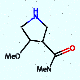 CNC(=O)C1CNCC1OC